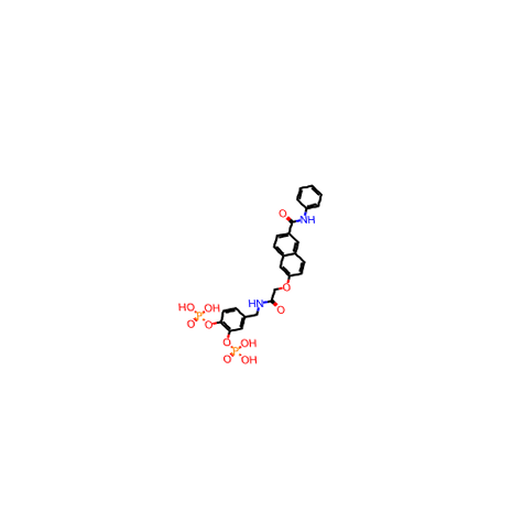 O=C(COc1ccc2cc(C(=O)Nc3ccccc3)ccc2c1)NCc1ccc(OP(=O)(O)O)c(OP(=O)(O)O)c1